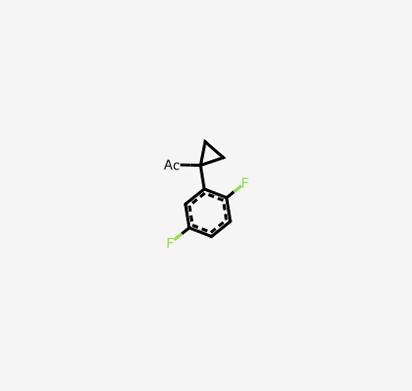 CC(=O)C1(c2cc(F)ccc2F)CC1